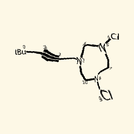 CC(C)(C)C#CN1CN(Cl)CN(Cl)C1